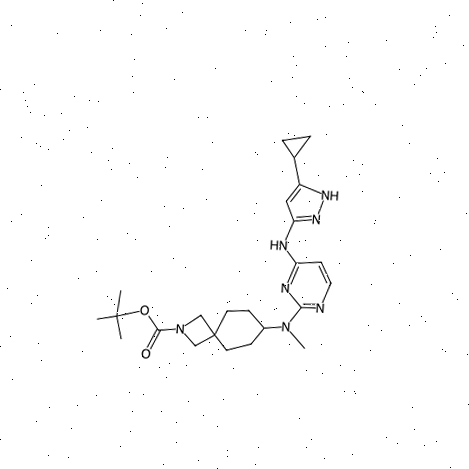 CN(c1nccc(Nc2cc(C3CC3)[nH]n2)n1)C1CCC2(CC1)CN(C(=O)OC(C)(C)C)C2